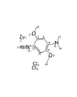 COc1cc(N(C)C)c(OC)cc1[N+]#N.[Cl-].[Cl-].[Zn+]